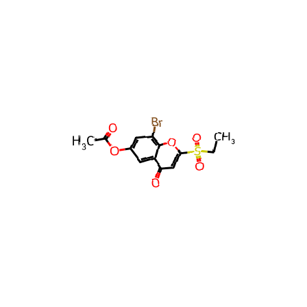 CCS(=O)(=O)c1cc(=O)c2cc(OC(C)=O)cc(Br)c2o1